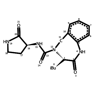 CC[C@H](C)[C@H]1C(=O)Nc2ccccc2CN1C(=O)N[C@H]1CCNC1=O